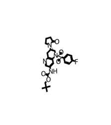 CC(C)(C)COC(=O)Nc1cnc2c(c1)N(S(=O)(=O)c1ccc(F)cc1)C[C@@H](N1CCCC1=O)C2